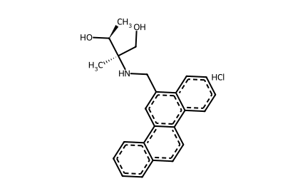 C[C@H](O)[C@@](C)(CO)NCc1cc2c3ccccc3ccc2c2ccccc12.Cl